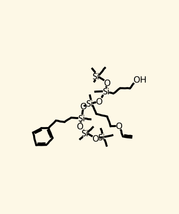 C=COCCC[Si](C)(O[Si](C)(CCCO)O[Si](C)(C)C)O[Si](C)(CCCc1ccccc1)O[Si](C)(C)O[Si](C)(C)C